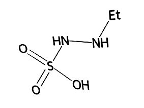 CCNNS(=O)(=O)O